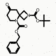 CC(C)(C)OC(=O)N1CC2(CC(=O)CCN2C(=O)OCc2ccccc2)C1